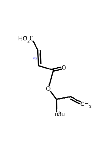 C=CC(CCCC)OC(=O)/C=C/C(=O)O